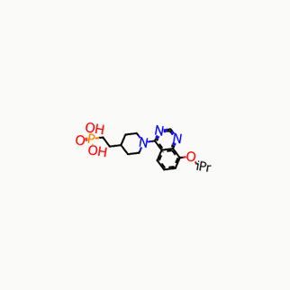 CC(C)Oc1cccc2c(N3CCC(CCP(=O)(O)O)CC3)ncnc12